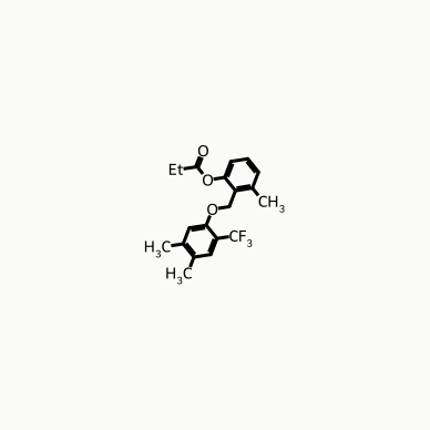 CCC(=O)Oc1cccc(C)c1COc1cc(C)c(C)cc1C(F)(F)F